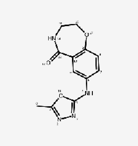 Cc1nnc(Nc2ccc3c(c2)C(=O)NCCO3)o1